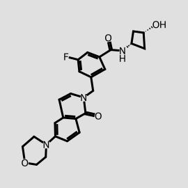 O=C(N[C@H]1C[C@@H](O)C1)c1cc(F)cc(Cn2ccc3cc(N4CCOCC4)ccc3c2=O)c1